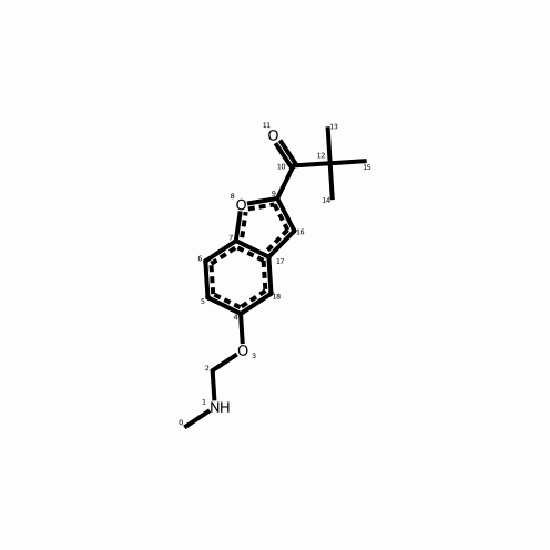 CNCOc1ccc2oc(C(=O)C(C)(C)C)cc2c1